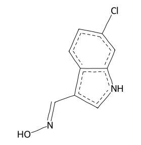 O/N=C/c1c[nH]c2cc(Cl)ccc12